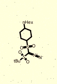 CCCCCCC1CCC(S(=O)(=O)C(=[N+]=[N-])S(=O)(=O)C(C)(C)C)CC1